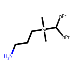 CCCC(CCC)[Si](C)(C)CCCN